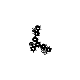 O=c1c2ccccc2c2cc(-c3ccc4c(c3)S(=O)(=O)c3ccccc3-4)cc3c2n1C1C=CC(C2C=C4C(=CC2)C2CC=CC=C2S4(=O)=O)=CC31